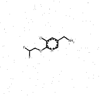 NCc1cnc(OCC(F)F)c(Cl)c1